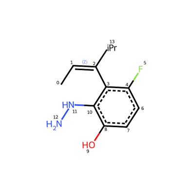 C/C=C(\c1c(F)ccc(O)c1NN)C(C)C